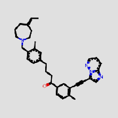 C/C=C1/CCCN(Cc2ccc(CCCC(=O)C3C=CC(C)=C(C#Cc4cnc5cccnn45)C3)cc2C)CC1